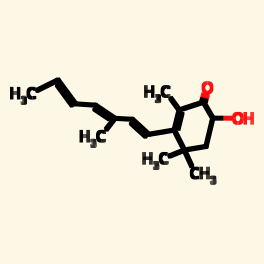 C/C=C/C=C(C)/C=C/C1=C(C)C(=O)C(O)CC1(C)C